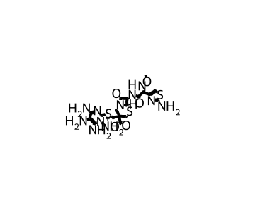 CON=C(C(=O)NC1C(=O)N2CC(CSc3nc(N)c(N)c(N)[n+]3N)(C(=O)[O-])CS[C@H]12)c1csc(N)n1